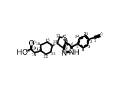 C#Cc1ccc(-c2[nH]nc3c2SC[C@H]3C2CCC(CC(=O)O)CC2)cc1